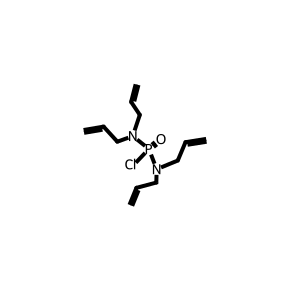 C=CCN(CC=C)P(=O)(Cl)N(CC=C)CC=C